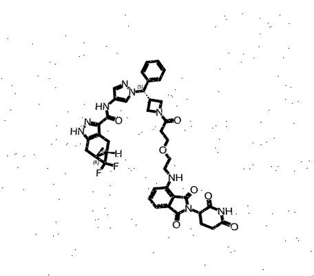 C[C@@]12Cc3[nH]nc(C(=O)Nc4cnn([C@H](c5ccccc5)C5CN(C(=O)CCOCCNc6cccc7c6C(=O)N(C6CCC(=O)NC6=O)C7=O)C5)c4)c3C[C@@H]1C2(F)F